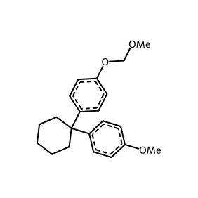 COCOc1ccc(C2(c3ccc(OC)cc3)CCCCC2)cc1